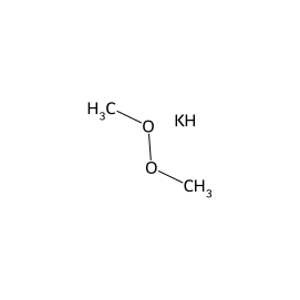 COOC.[KH]